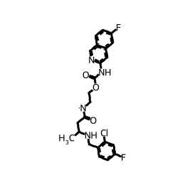 CC(CC(=O)[N]CCOC(=O)Nc1cc2cc(F)ccc2cn1)NCc1ccc(F)cc1Cl